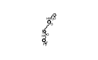 O=C(CN1CCCC1=O)Nc1ccn(CCCCn2cc(C(=O)NCc3cccc(C(F)(F)F)c3)nn2)c(=O)c1